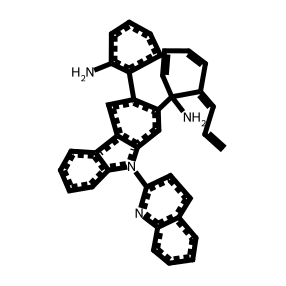 C=C/C=C1/C=CC=CC1(N)c1cc2c(cc1-c1ccccc1N)c1ccccc1n2-c1ccc2ccccc2n1